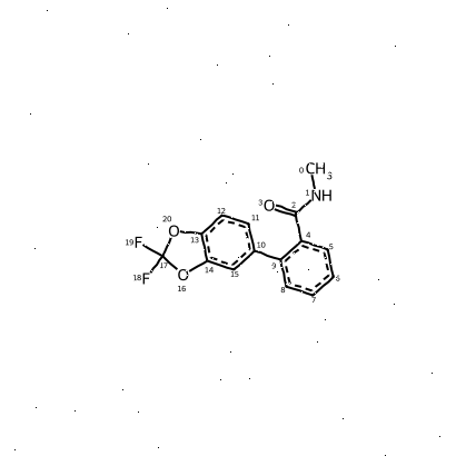 CNC(=O)c1ccccc1-c1ccc2c(c1)OC(F)(F)O2